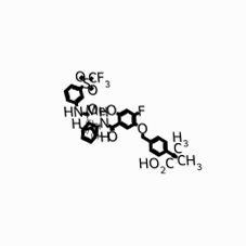 COc1cc(F)c(OCc2ccc(C(C)(C)C(=O)O)cc2)cc1C(=O)N[C@H]1[C@@H](C(=O)Nc2cccc(S(=O)(=O)C(F)(F)F)c2)[C@@H]2C=C[C@H]1C2